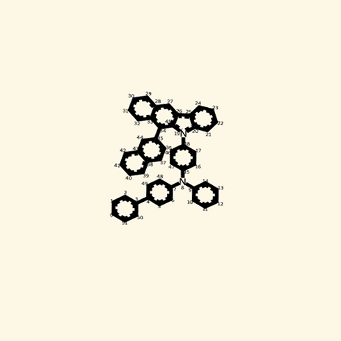 c1ccc(-c2ccc(N(c3ccccc3)c3ccc(-n4c5ccccc5c5cc6ccccc6c(-c6ccc7ccccc7c6)c54)cc3)cc2)cc1